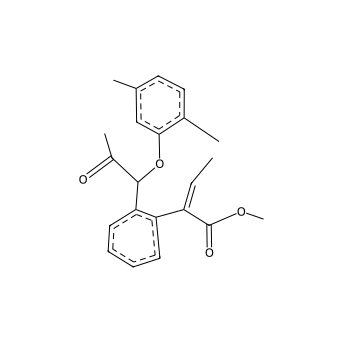 CC=C(C(=O)OC)c1ccccc1C(Oc1cc(C)ccc1C)C(C)=O